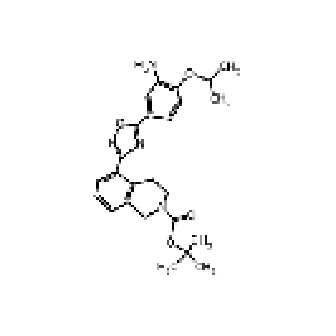 CC(C)Oc1ccc(-c2nc(-c3cccc4c3CCN(C(=O)OC(C)(C)C)C4)no2)cc1N